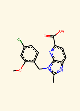 COc1cc(Cl)ccc1Cn1c(C)nc2ccc(C(=O)O)nc21